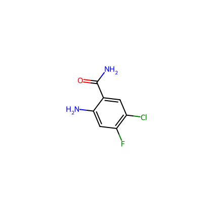 NC(=O)c1cc(Cl)c(F)cc1N